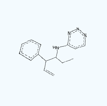 C=CC(c1ccccc1)C(CC)Nc1ccnnn1